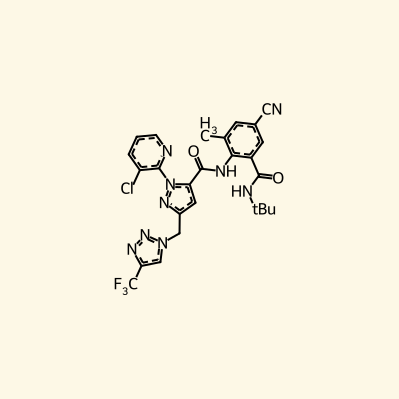 Cc1cc(C#N)cc(C(=O)NC(C)(C)C)c1NC(=O)c1cc(Cn2cc(C(F)(F)F)nn2)nn1-c1ncccc1Cl